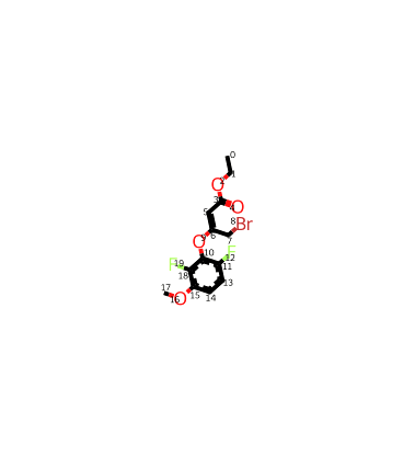 CCOC(=O)C=C(CBr)Oc1c(F)ccc(OC)c1F